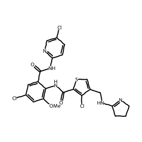 COc1cc(Cl)cc(C(=O)Nc2ccc(Cl)cn2)c1NC(=O)c1scc(CNC2=NCCC2)c1Cl